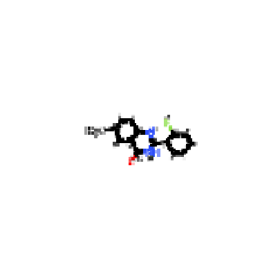 O=C(O)c1ccc2nc(-c3ccccc3F)[nH]c(=O)c2c1